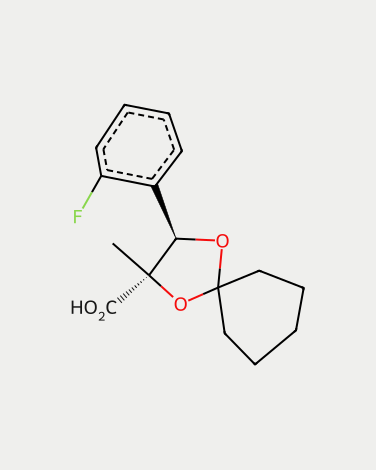 C[C@]1(C(=O)O)OC2(CCCCC2)O[C@@H]1c1ccccc1F